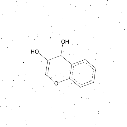 OC1=COc2ccccc2C1O